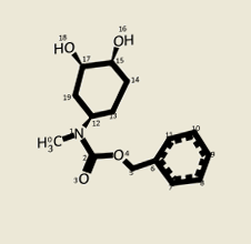 CN(C(=O)OCc1ccccc1)[C@@H]1CC[C@H](O)[C@H](O)C1